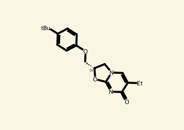 CCc1cn2c(nc1=O)O[C@H](COc1ccc(C(C)(C)C)cc1)C2